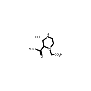 COC(=O)C1CNCCN1CC(=O)O.Cl